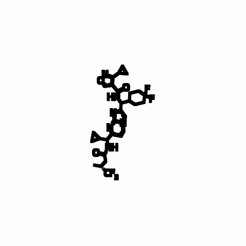 C[C@H](CC(=O)NC(c1ccn2cc([C@@H](NC(=O)c3conc3C3CC3)C3CCC(F)(F)CC3)nc2n1)C1CC1)C(F)(F)F